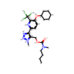 CCCCN(C)C(=O)OCc1c(-c2ccc(OC3CCCCC3)c(C(F)(F)F)n2)nnn1C